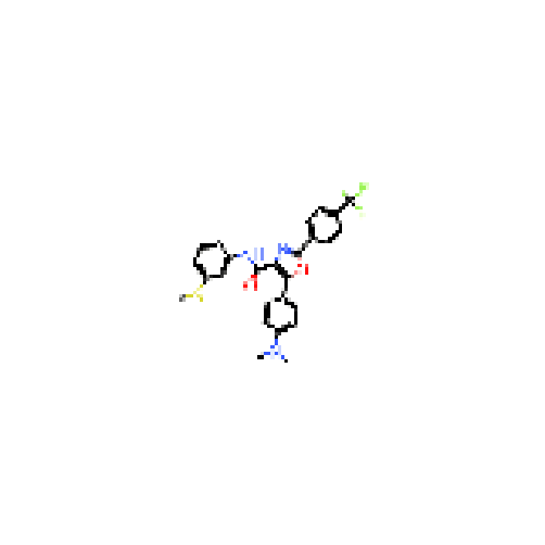 CSc1cccc(NC(=O)c2nc(-c3ccc(C(F)(F)F)cc3)oc2-c2ccc(N(C)C)cc2)c1